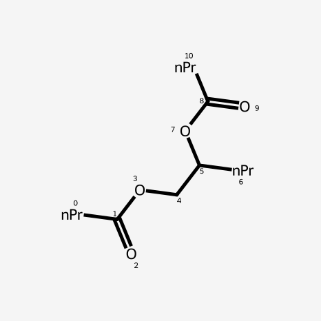 CCCC(=O)OCC(CCC)OC(=O)CCC